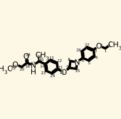 CCOc1ccc(N2CC(Oc3ccc([C@H](C)NC(=O)COC)cc3)C2)cc1